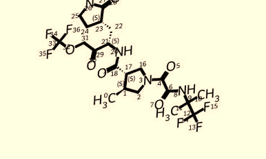 C[C@@H]1CN(C(=O)C(=O)NC(C)(C)C(F)(F)F)C[C@H]1C(=O)N[C@@H](C[C@@H]1CCNC1=O)C(=O)COC(F)(F)F